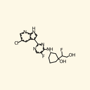 OCC(F)[C@]1(O)CCC[C@H](Nc2nc(-c3c[nH]c4ncc(Cl)cc34)ncc2F)C1